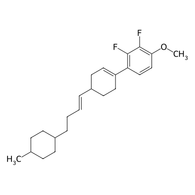 COc1ccc(C2=CCC(/C=C/CCC3CCC(C)CC3)CC2)c(F)c1F